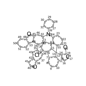 Clc1cccc2c1-c1ccccc1C21c2ccccc2Oc2ccc(N(c3ccccc3)c3cc(-c4ccc5occc5c4)c4c(c3)oc3ccccc34)cc21